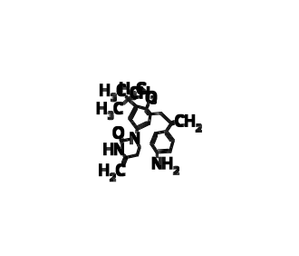 C=C1CCN(c2cc(CC(=C)c3ccc(N)cc3)c(OC)c(C(C)(C)C)c2)C(=O)N1